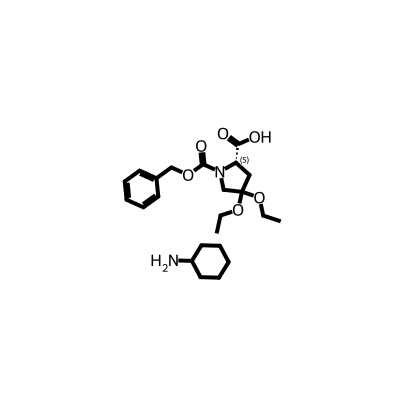 CCOC1(OCC)C[C@@H](C(=O)O)N(C(=O)OCc2ccccc2)C1.NC1CCCCC1